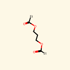 CCC(=O)O[CH]CCOC(=O)CC